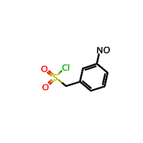 O=Nc1cccc(CS(=O)(=O)Cl)c1